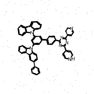 C1=CC(c2nc(C3=CC=NCC3)nc(-c3ccc(-c4cc(-n5c6ccccc6c6ccccc65)cc(-n5c6ccccc6c6cc(-c7ccccc7)ccc65)c4)cc3)n2)=CCN1